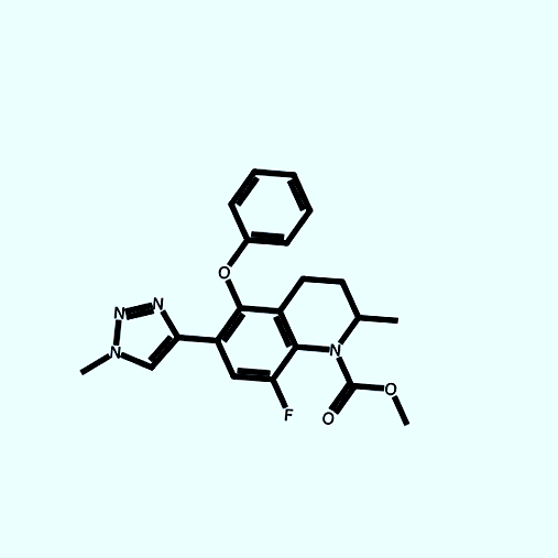 COC(=O)N1c2c(F)cc(-c3cn(C)nn3)c(Oc3ccccc3)c2CCC1C